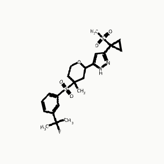 CC(C)(F)c1cccc(S(=O)(=O)C2(C)CCOC(c3cc(C4(S(C)(=O)=O)CC4)n[nH]3)C2)c1